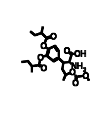 CCC(C)C(=O)Oc1ccc(C(CC(C)OC(=O)OC)[C@H](N)C(=O)O)cc1OC(=O)C(C)CC